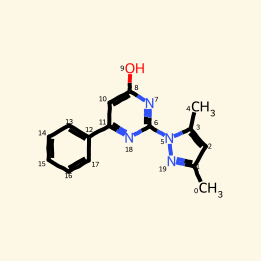 Cc1cc(C)n(-c2nc(O)cc(-c3ccccc3)n2)n1